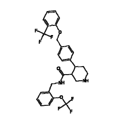 O=C(NCc1ccccc1OC(F)(F)F)C1CNCCC1c1ccc(COc2ccccc2C(F)(F)F)cc1